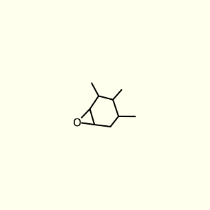 CC1CC2OC2C(C)C1C